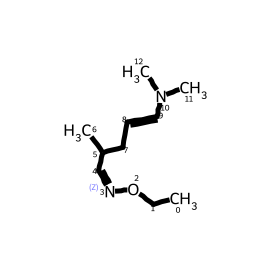 CCO/N=C\C(C)CC=CN(C)C